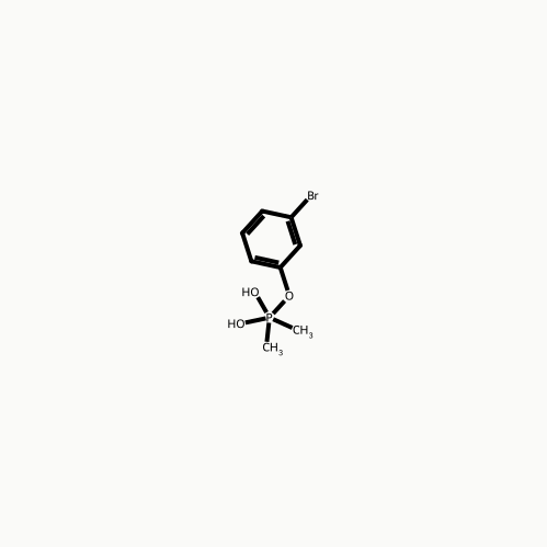 CP(C)(O)(O)Oc1cccc(Br)c1